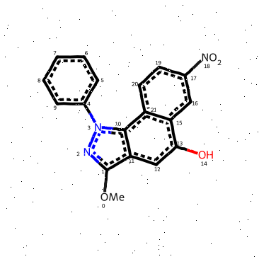 COc1nn(-c2ccccc2)c2c1cc(O)c1cc([N+](=O)[O-])ccc12